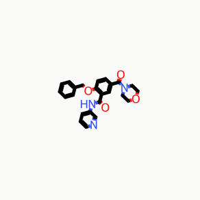 O=C(Nc1cccnc1)c1cc(C(=O)N2CCOCC2)ccc1OCc1ccccc1